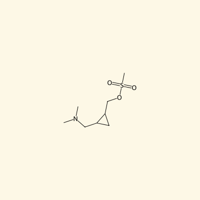 CN(C)CC1CC1COS(C)(=O)=O